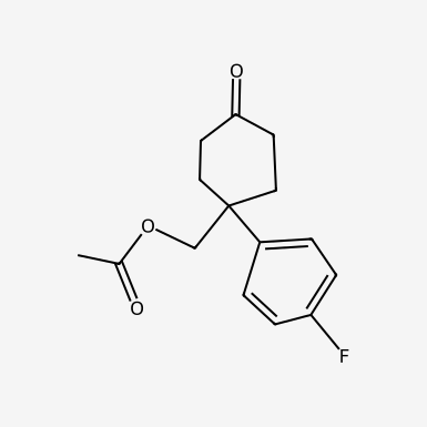 CC(=O)OCC1(c2ccc(F)cc2)CCC(=O)CC1